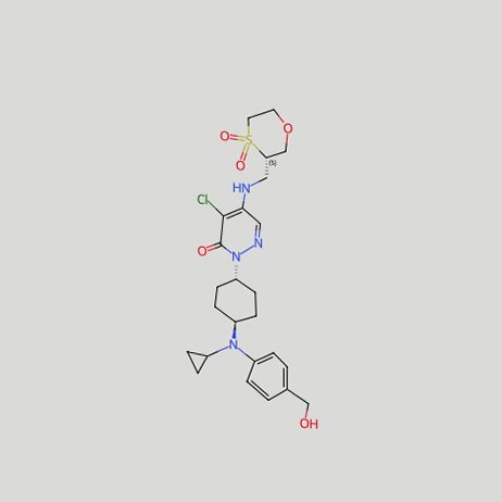 O=c1c(Cl)c(NC[C@H]2COCCS2(=O)=O)cnn1[C@H]1CC[C@H](N(c2ccc(CO)cc2)C2CC2)CC1